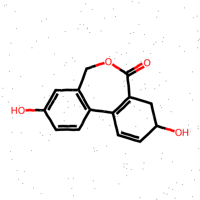 O=C1OCc2cc(O)ccc2C2=C1CC(O)C=C2